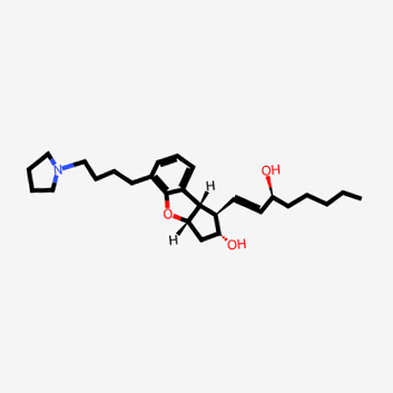 CCCCC[C@H](O)C=C[C@@H]1[C@H]2c3cccc(CCCCN4CCCC4)c3O[C@H]2C[C@H]1O